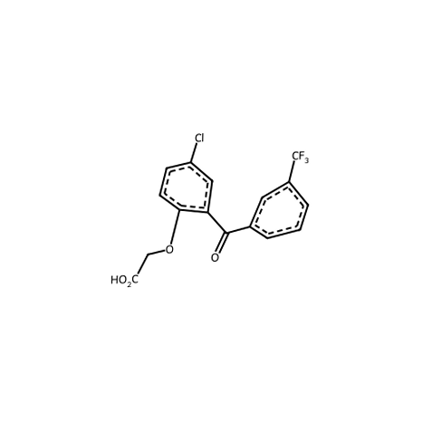 O=C(O)COc1ccc(Cl)cc1C(=O)c1cccc(C(F)(F)F)c1